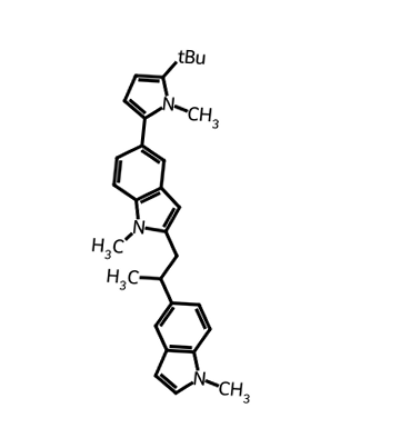 CC(Cc1cc2cc(-c3ccc(C(C)(C)C)n3C)ccc2n1C)c1ccc2c(ccn2C)c1